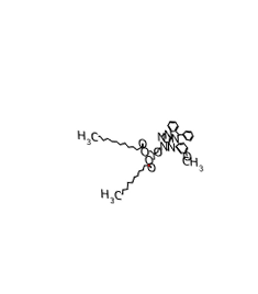 CCCCCCCCCCCC(=O)OCC(COC(=O)CCCCCCCCCCC)OCn1cnc2c(N(c3ccc(OC)cc3)C(c3ccccc3)c3ccccc3)ncnc21